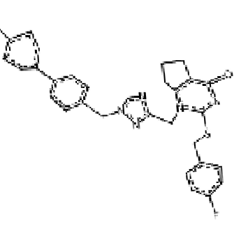 Cc1ccc(-c2ccc(Cn3cnc(Cn4c(SCc5ccc(F)cc5)nc(=O)c5c4CCC5)n3)cc2)cc1